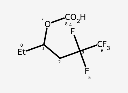 CCC(CC(F)(F)C(F)(F)F)OC(=O)O